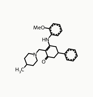 COc1ccccc1NC1=C(CN2CCC(C)CC2)C(=O)CC(c2ccccc2)C1